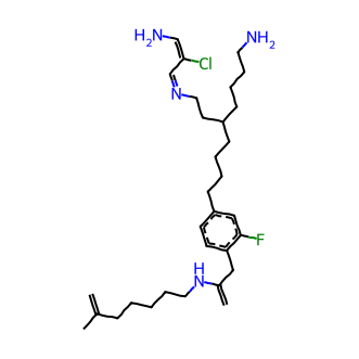 C=C(C)CCCCCNC(=C)Cc1ccc(CCCCC(CCCCN)CC/N=C\C(Cl)=C/N)cc1F